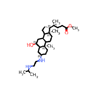 COC(=O)CC[C@@H](C)[C@H]1CCC2C3C[C@H](O)C4C[C@H](NCCNC(C)C)CC[C@]4(C)C3CC[C@@]21C